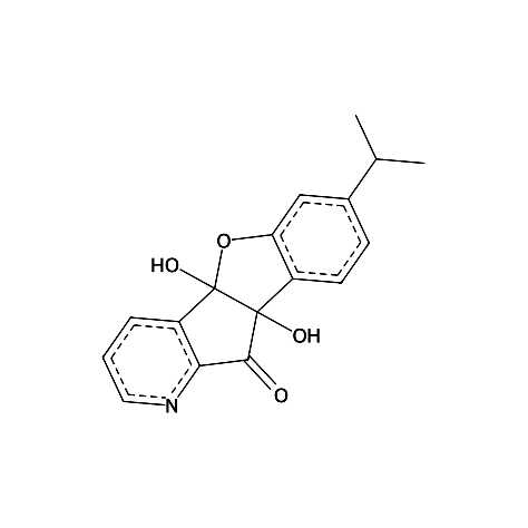 CC(C)c1ccc2c(c1)OC1(O)c3cccnc3C(=O)C21O